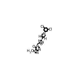 Cn1cnc2ncn(Cc3nc([C@H]4[C@@H]5CN(c6cc(Cl)cc(Cl)c6)C[C@@H]54)no3)c(=O)c21